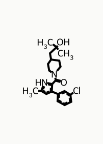 Cc1cc(-c2cccc(Cl)c2)c(C(=O)N2CCC(CC(C)(C)O)CC2)[nH]1